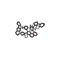 c1ccc(-c2nc(-c3ccc(-n4c5ccccc5c5cc6ccccc6cc54)cc3-c3cc4ccccc4c4oc5ccccc5c34)nc(-c3cccc4c3oc3ccccc34)n2)cc1